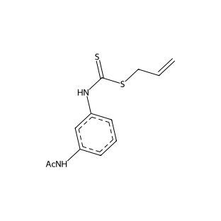 C=CCSC(=S)Nc1cccc(NC(C)=O)c1